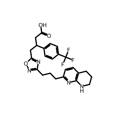 O=C(O)CC(Cc1nc(CCCc2ccc3c(n2)NCCC3)no1)c1ccc(C(F)(F)F)cc1